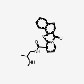 CN[C@@H](C)CNC(=O)c1cccn2c(=O)c3ccc4ccccc4c3nc12